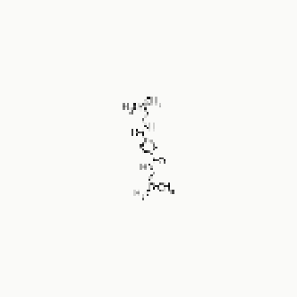 CN(C)CCNC(=O)c1ccc(C(=O)NCCN(C)C)cc1